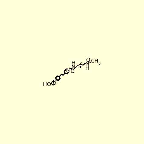 CCC(=O)NCCSSCCNC(=O)C[n+]1ccc(/C=C/c2ccc(N3CCC(O)C3)cc2)cc1